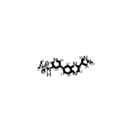 CN(C)S(=O)(=O)Nc1cncc(-c2ccc3ncc(-c4cnn(C)c4)nc3c2)c1